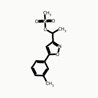 Cc1cccc(-c2cc(C(C)OS(C)(=O)=O)no2)c1